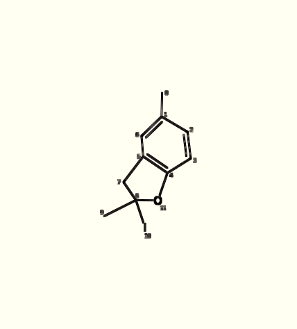 Cc1ccc2c(c1)CC(C)(I)O2